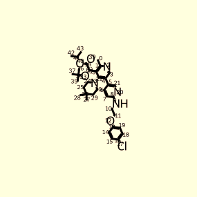 Cc1ncc(-c2ccc(NCCOc3ccc(Cl)cc3)nc2)c(N2CCC(C)(C)CC2)c1[C@H](OC(C)(C)C)C(=O)OC(C)C